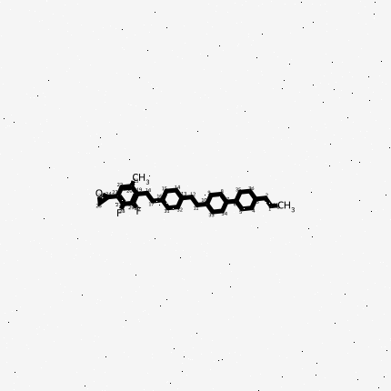 CCCC1CCC(C2CCC(CCC3CCC(CCc4c(C)cc(C5CO5)c(F)c4F)CC3)CC2)CC1